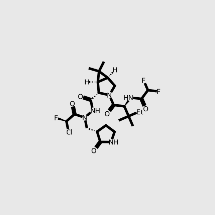 CCC(C)(C)[C@H](NC(=O)C(F)F)C(=O)N1C[C@H]2[C@@H]([C@H]1C(=O)NN(C[C@@H]1CCNC1=O)C(=O)[C@H](F)Cl)C2(C)C